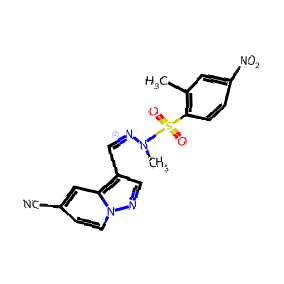 Cc1cc([N+](=O)[O-])ccc1S(=O)(=O)N(C)/N=C\c1cnn2ccc(C#N)cc12